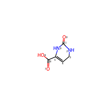 O=C1NCC=C(C(=O)O)N1